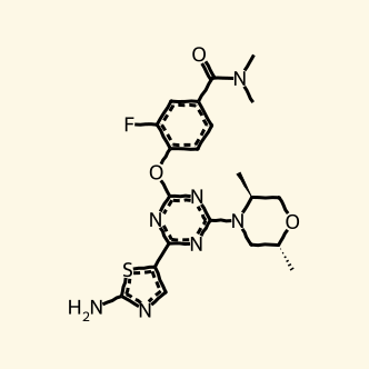 C[C@@H]1CN(c2nc(Oc3ccc(C(=O)N(C)C)cc3F)nc(-c3cnc(N)s3)n2)[C@@H](C)CO1